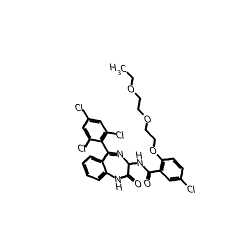 CCOCCOCCOc1ccc(Cl)cc1C(=O)NC1N=C(c2c(Cl)cc(Cl)cc2Cl)c2ccccc2NC1=O